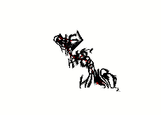 O=C(CCC(=O)NC1CCC(NC(=O)c2ccc(CNC(=O)NC[C@H]3CN(Cc4ccc(Cl)c(Cl)c4)CCO3)cc2)CC1)NCCCOCCOCCOCCCNc1ccc([N+](=O)[O-])cc1[N+](=O)[O-]